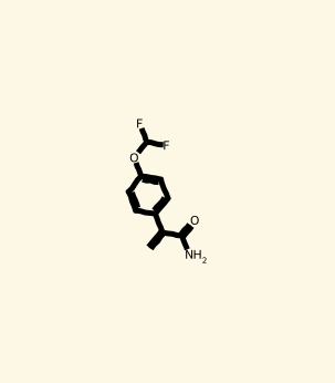 C=C(C(N)=O)c1ccc(OC(F)F)cc1